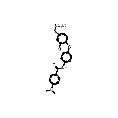 CCOC(=O)Cc1ccc(Oc2ccc(NC(=O)c3ccc(N(C)C)cc3)cc2)c(Cl)c1